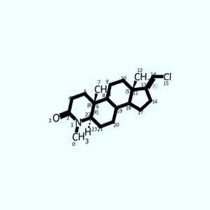 CN1C(=O)CC[C@]2(C)C3CC[C@]4(C)/C(=C/Cl)CCC4C3CC[C@@H]12